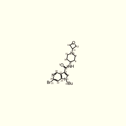 CCC(C)n1cc(C(=O)NC2CCN(C3COC3)CC2)c2cnc(Br)cc21